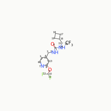 O=C(NCc1ccnc(OC(F)F)c1)N[C@H](C1CCC1)C(F)(F)F